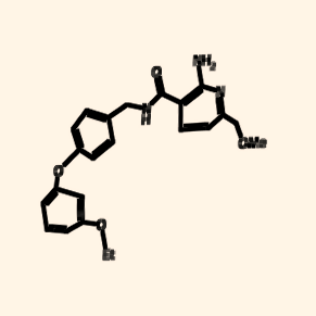 CCOc1cccc(Oc2ccc(CNC(=O)c3ccc(COC)nc3N)cc2)c1